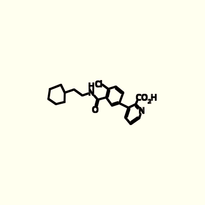 O=C(NCCC1CCCCC1)c1cc(-c2cccnc2C(=O)O)ccc1Cl